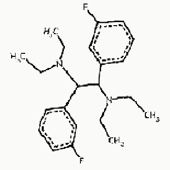 CCN(CC)C(c1cccc(F)c1)C(c1cccc(F)c1)N(CC)CC